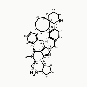 Cn1c(=O)c2c(Nc3ccccc3)n(Cc3ccc(C4NCCCC45CCCCCCC5)cc3)nc2n(C2CCCC2N)c1=O